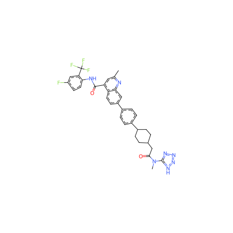 Cc1cc(C(=O)Nc2ccc(F)cc2C(F)(F)F)c2ccc(-c3ccc(C4CCC(CC(=O)N(C)c5nnn[nH]5)CC4)cc3)cc2n1